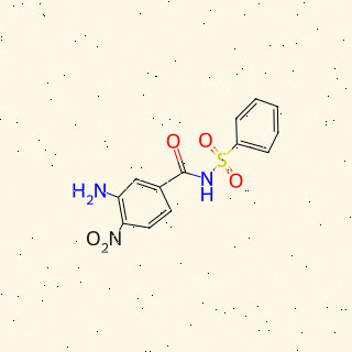 Nc1cc(C(=O)NS(=O)(=O)c2ccccc2)ccc1[N+](=O)[O-]